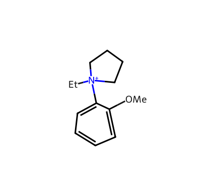 CC[N+]1(c2ccccc2OC)CCCC1